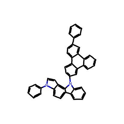 c1ccc(-c2ccc3c4ccc(-n5c6ccccc6c6ccc7c(ccn7-c7ccccc7)c65)cc4c4ccccc4c3c2)cc1